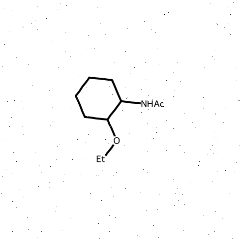 CCOC1CCCCC1NC(C)=O